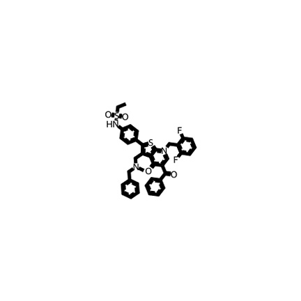 CCS(=O)(=O)Nc1ccc(-c2sc3c(c2CN(C)Cc2ccccc2)c(=O)c(C(=O)c2ccccc2)cn3Cc2c(F)cccc2F)cc1